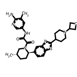 Cc1cc(NC(=O)C(=O)N2C[C@@H](C)CC[C@@H]2c2ccc3sc(C4CCN(C5COC5)CC4)nc3c2)cnc1N